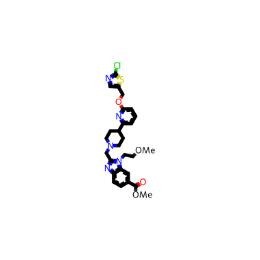 COCCn1c(CN2CCC(c3cccc(OCc4cnc(Cl)s4)n3)CC2)nc2ccc(C(=O)OC)cc21